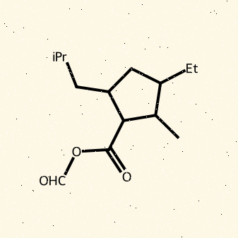 CCC1CC(CC(C)C)C(C(=O)OC=O)C1C